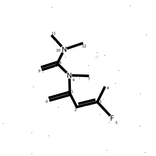 C=C(/C=C(\C)F)N(C)C(=C)N(C)C